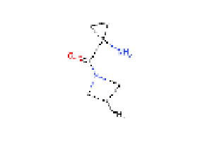 CC1CN(C(=O)C2(N)CC2)C1